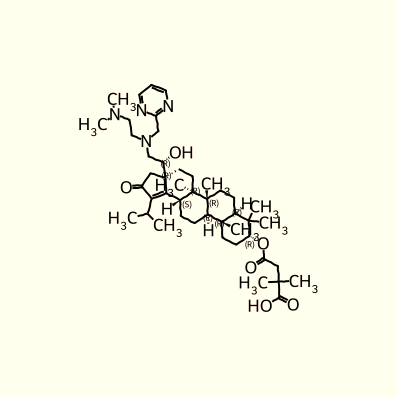 CC(C)C1=C2[C@H]3CC[C@@H]4[C@@]5(C)CC[C@@H](OC(=O)CC(C)(C)C(=O)O)C(C)(C)[C@@H]5CC[C@@]4(C)[C@]3(C)CC[C@@]2([C@@H](O)CN(CCN(C)C)Cc2ncccn2)CC1=O